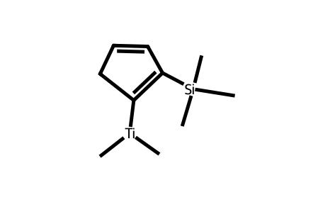 [CH3][Ti]([CH3])[C]1=C([Si](C)(C)C)C=CC1